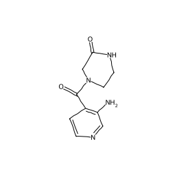 Nc1cnccc1C(=O)N1CCNC(=O)C1